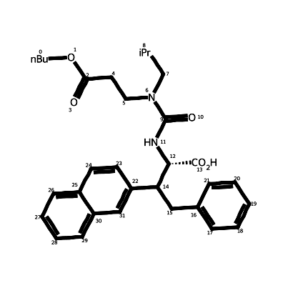 CCCCOC(=O)CCN(CC(C)C)C(=O)N[C@H](C(=O)O)C(Cc1ccccc1)c1ccc2ccccc2c1